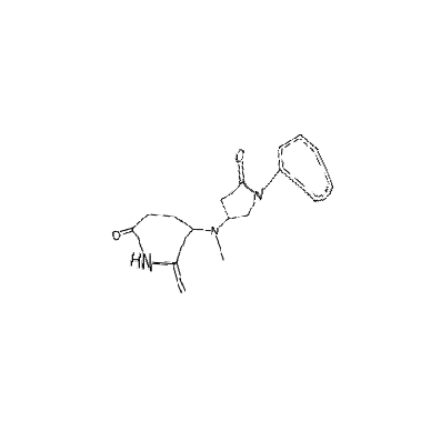 C=C1NC(=O)CCC1N(C)C1CC(=O)N(c2ccccc2)C1